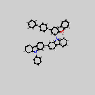 C1=Cc2c(n(-c3ccccc3)c3cc(-c4ccc5c6c(n(-c7cc(-c8ccc(-c9ccccc9)cc8)cc8c7oc7ccccc78)c5c4)CCC=C6)ccc23)CC1